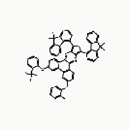 Cc1ccccc1Oc1ccc2c(c1)c1cc(Oc3ccccc3C(F)(F)F)ccc1c1nc3c(-c4cccc5c4-c4ccccc4C5(C)C)sc(-c4cccc5c4-c4ccccc4C5(C)C)c3nc21